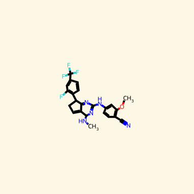 CNC1N=C(Nc2ccc(C#N)c(OC)c2)N=C2C1=CCC2c1ccc(C(F)(F)F)cc1F